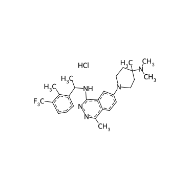 Cc1c(C(C)Nc2nnc(C)c3ccc(N4CCC(C)(N(C)C)CC4)cc23)cccc1C(F)(F)F.Cl